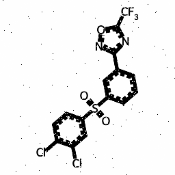 O=S(=O)(c1[c]ccc(-c2noc(C(F)(F)F)n2)c1)c1ccc(Cl)c(Cl)c1